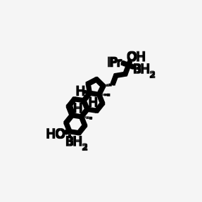 BC(O)(CCC[C@H]1CC[C@H]2[C@@H]3CC=C4C[C@](B)(O)CC[C@]4(C)[C@H]3CC[C@]12C)C(C)C